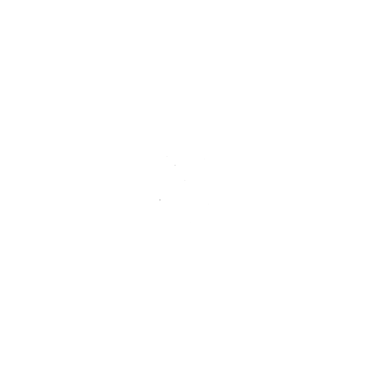 [CH]1C2CCC3CC1CC(C2)C3